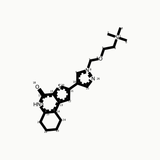 C[Si](C)(C)CCOCn1cc(-c2cc3c4c([nH]c(=O)c3s2)CCCC4)cn1